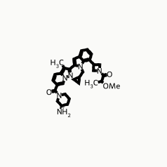 COC(C)C(=O)N1CC(c2cccc3cc(-c4nn5cc(C(=O)N6CCC[C@@H](N)C6)ccc5c4C)n(CC4CC4)c23)C1